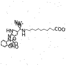 O=Cc1ccccc1N(N=c1ccc(C(=O)NCCCCCCCCCCC(=O)[O-])c[nH]1)S(=O)(=O)[O-].[Na+].[Na+]